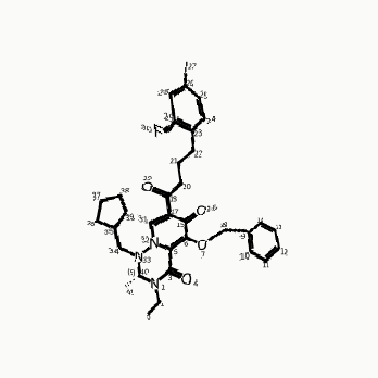 CCN1C(=O)c2c(OCc3ccccc3)c(=O)c(C(=O)CCCc3ccc(I)cc3F)cn2N(CC2CCCC2)[C@H]1C